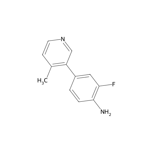 Cc1ccncc1-c1ccc(N)c(F)c1